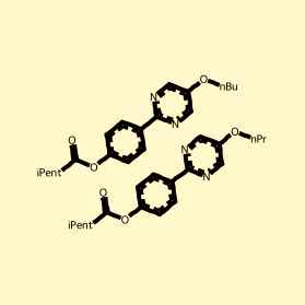 CCCCOc1cnc(-c2ccc(OC(=O)C(C)CCC)cc2)nc1.CCCOc1cnc(-c2ccc(OC(=O)C(C)CCC)cc2)nc1